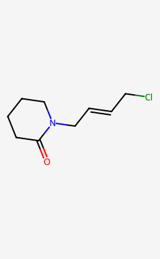 O=C1CCCCN1C/C=C/CCl